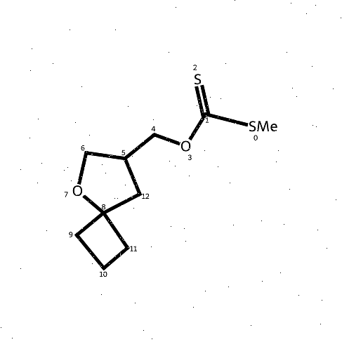 C[SH2]C(=S)OCC1COC2(CCC2)C1